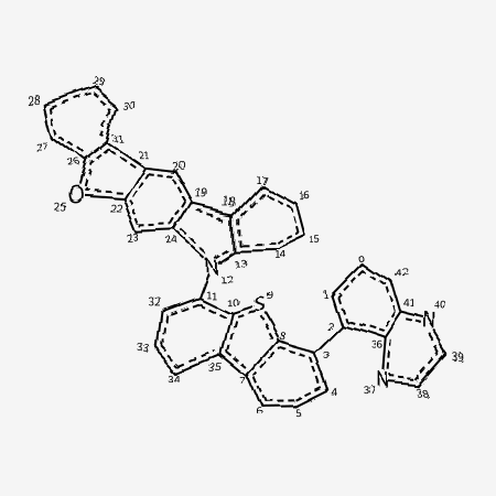 c1cc(-c2cccc3c2sc2c(-n4c5ccccc5c5cc6c(cc54)oc4ccccc46)cccc23)c2nccnc2c1